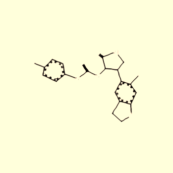 O=C(Nc1ccc(F)cc1)NC1C(=O)NCC1c1cc2c(cc1F)OCC2